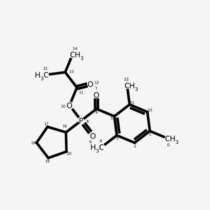 Cc1cc(C)c(C(=O)P(=O)(OC(=O)C(C)C)C2CCCC2)c(C)c1